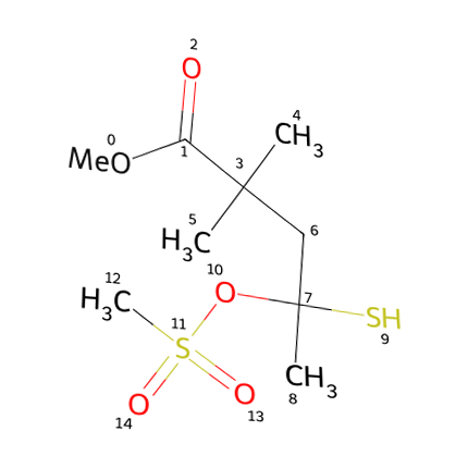 COC(=O)C(C)(C)CC(C)(S)OS(C)(=O)=O